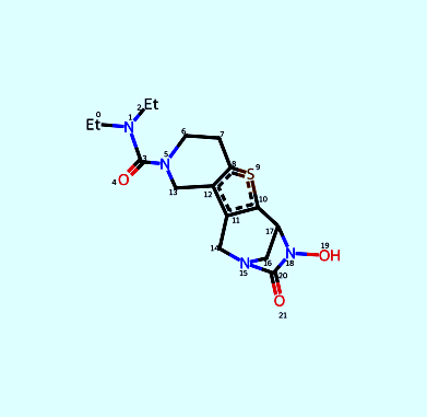 CCN(CC)C(=O)N1CCc2sc3c(c2C1)CN1CC3N(O)C1=O